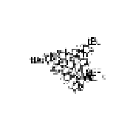 CC(C)(C)c1ccnc(-c2ccc(-c3ccccc3-c3cc(-c4ccccc4-c4ccc(-c5cc(C(C)(C)C)ccn5)cc4)cc(-c4ccccc4-c4ccc(-c5ccccn5)cc4OS(=O)(=O)C(F)(F)F)c3)cc2)c1